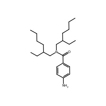 CCCCC(CC)CN(CC(CC)CCCC)C(=O)c1ccc(N)cc1